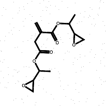 C=C(CC(=O)OC(C)C1CO1)C(=O)OC(C)C1CO1